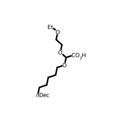 CCCCCCCCCCCCCCCOC(OCCOCC)C(=O)O